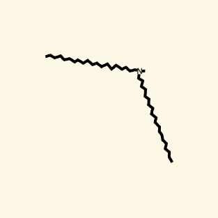 CCCCCCCCCCCCCCCCCCCCN(C)CCCCCCCCCCCCCCCCCCCC